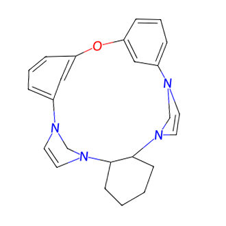 C1=CN2CN1c1cccc(c1)Oc1cccc(c1)N1C=CN(C1)C1CCCCC12